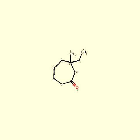 CCC1(C)CCCCC(=O)C1